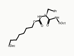 CCCCCCCCCCCCCCCCOC(=O)N[C@@H](CC(C)C)C(=O)NCCCCCCCC